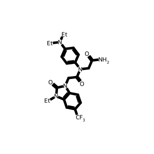 CCN(CC)c1ccc(N(CC(N)=O)C(=O)Cn2c(=O)n(CC)c3cc(C(F)(F)F)ccc32)cc1